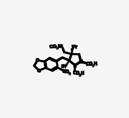 CCOC(=O)C[C@]1(C(C)C)CN(C(=O)O)N(C(=O)O)[C@]1(Cc1cc2c(cc1[N+](=O)[O-])OCO2)C(C)C